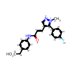 Cn1ncc(C=CC(=O)Nc2ccc(CC(=O)O)cc2)c1-c1ccc(F)cc1